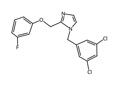 Fc1cccc(OCc2nccn2Cc2cc(Cl)cc(Cl)c2)c1